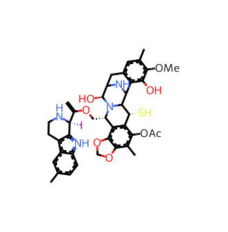 C=C(OC[C@H]1c2c3c(c(C)c(OC(C)=O)c2[C@@H](S)C2C4NC(Cc5cc(C)c(OC)c(O)c54)[C@H](O)N21)OCO3)[C@]1(I)NCCc2c1[nH]c1ccc(C)cc21